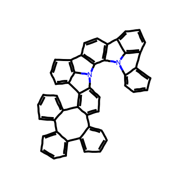 c1ccc2c(c1)-c1ccccc1-c1ccc3c(c1-c1ccccc1-2)c1cccc2c4ccc5c6cccc7c8ccccc8n(c76)c5c4n3c21